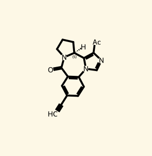 C#Cc1ccc2c(c1)C(=O)N1CCC[C@H]1c1c(C(C)=O)ncn1-2